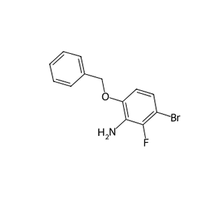 Nc1c(OCc2ccccc2)ccc(Br)c1F